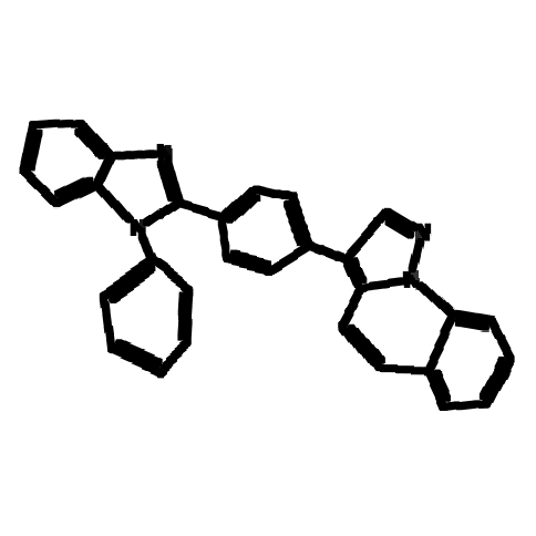 c1ccc(-n2c(-c3ccc(-c4cnn5c4ccc4ccccc45)cc3)nc3ccccc32)cc1